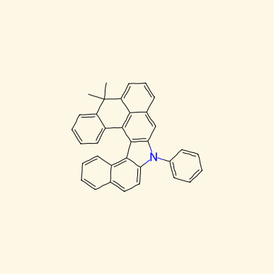 CC1(C)c2ccccc2-c2c3c1cccc3cc1c2c2c3ccccc3ccc2n1-c1ccccc1